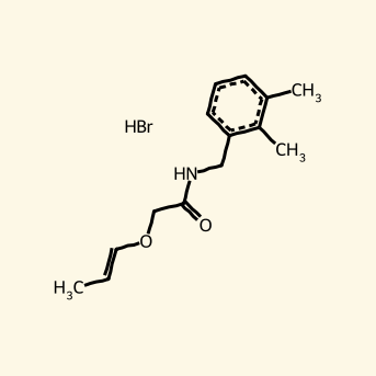 Br.CC=COCC(=O)NCc1cccc(C)c1C